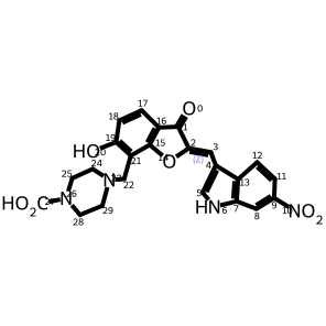 O=C1/C(=C/c2c[nH]c3cc([N+](=O)[O-])ccc23)Oc2c1ccc(O)c2CN1CCN(C(=O)O)CC1